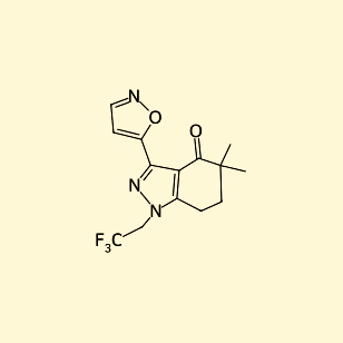 CC1(C)CCc2c(c(-c3ccno3)nn2CC(F)(F)F)C1=O